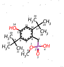 COP(=O)(O)Cc1cc(C(C)(C)C)c(O)cc1C(C)(C)C